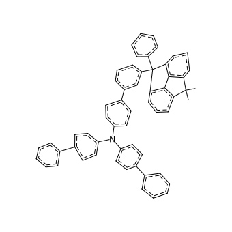 CC1(C)c2cccc3c2-c2c1cccc2C3(c1ccccc1)c1cccc(-c2ccc(N(c3ccc(-c4ccccc4)cc3)c3ccc(-c4ccccc4)cc3)cc2)c1